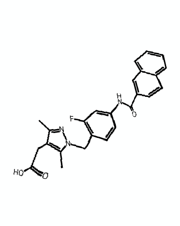 Cc1nn(Cc2ccc(NC(=O)c3ccc4ccccc4c3)cc2F)c(C)c1CC(=O)O